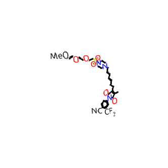 COCCOCCOCCS(=O)(=O)N1CCN(CCCCCCCC2=C(C)C(=O)N(c3ccc(C#N)c(C(F)(F)F)c3)C2=O)CC1